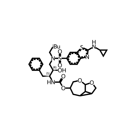 CCC(C)CN(C[C@@H](O)[C@H](Cc1ccccc1)NC(=O)OC1COC2OCC3C(C1)C23)S(=O)(=O)c1ccc2nc(NC3CC3)sc2c1